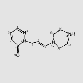 O=c1cccnn1CC=CN1CCNCC1